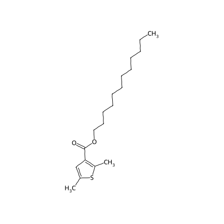 CCCCCCCCCCCCOC(=O)c1cc(C)sc1C